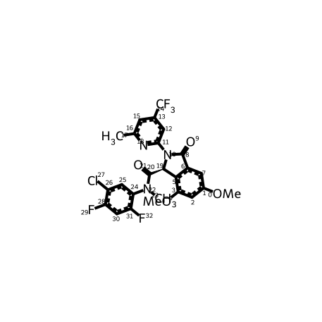 COc1cc(OC)c2c(c1)C(=O)N(c1cc(C(F)(F)F)cc(C)n1)[C@@H]2C(=O)N(C)c1cc(Cl)c(F)cc1F